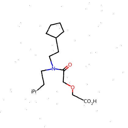 CC(C)CCN(CCC1CCCC1)C(=O)COCC(=O)O